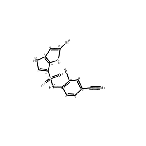 N#Cc1ccc(NS(=O)(=O)c2c[nH]c3cc(Br)sc23)c(F)c1